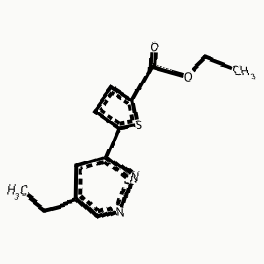 CCOC(=O)c1ccc(-c2cc(CC)cnn2)s1